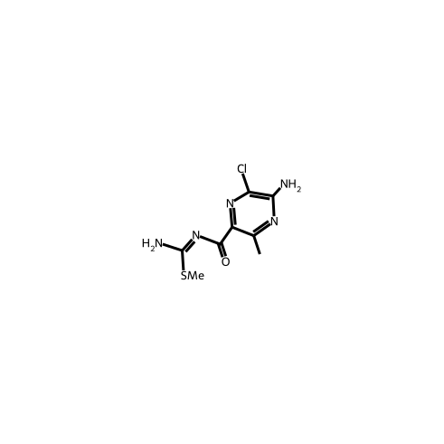 CS/C(N)=N\C(=O)c1nc(Cl)c(N)nc1C